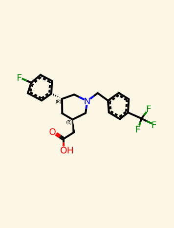 O=C(O)C[C@H]1C[C@H](c2ccc(F)cc2)CN(Cc2ccc(C(F)(F)F)cc2)C1